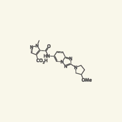 COC1CCN(c2nc3ccc(NC(=O)c4c(C(=O)O)cnn4C)cn3n2)C1